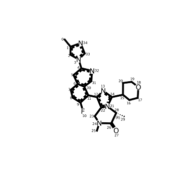 Cc1cn(-c2cc3ccc(F)c(-c4nc(C5CCOCC5)n5c4CN(C)C(=O)[C@H]5C)c3cn2)cn1